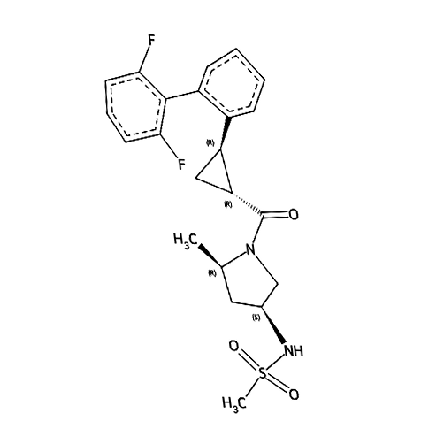 C[C@@H]1C[C@H](NS(C)(=O)=O)CN1C(=O)[C@@H]1C[C@H]1c1ccccc1-c1c(F)cccc1F